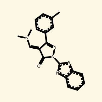 Cc1cccc(C2=NN(c3nc4ccccc4s3)C(=O)/C2=C/N(C)C)c1